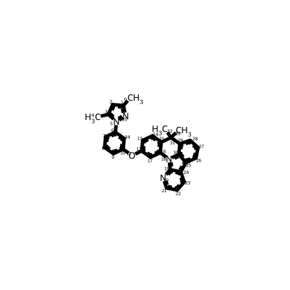 Cc1cc(C)n(-c2cccc(Oc3ccc4c(c3)-n3c5ncccc5c5cccc(c53)C4(C)C)c2)n1